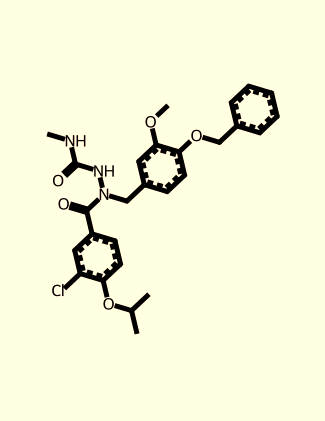 CNC(=O)NN(Cc1ccc(OCc2ccccc2)c(OC)c1)C(=O)c1ccc(OC(C)C)c(Cl)c1